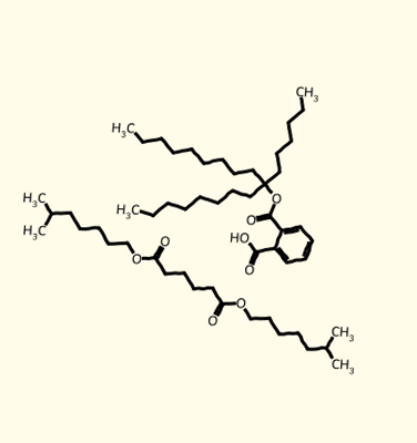 CC(C)CCCCCOC(=O)CCCCC(=O)OCCCCCC(C)C.CCCCCCCCCC(CCCCCC)(CCCCCCCC)OC(=O)c1ccccc1C(=O)O